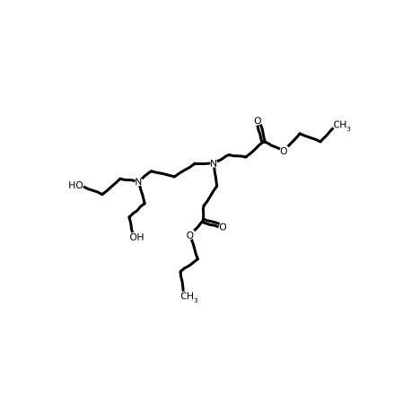 CCCOC(=O)CCN(CCCN(CCO)CCO)CCC(=O)OCCC